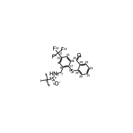 CC(C)(C)[S+]([O-])NCc1cc(C(F)(F)F)ccc1Sc1ccccc1C=O